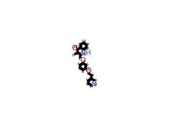 Cc1c(COc2cccc(OCCc3cccnc3)c2)[nH]c2ccccc2c1=O